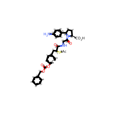 CC(=O)SC(Cc1ccc(OC(=O)OCc2ccccc2)cc1)C(=O)NCC(=O)N1C(c2ccc(N)cc2)CC[C@H]1C(=O)O